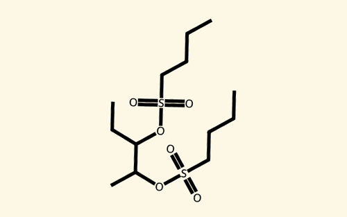 CCCCS(=O)(=O)OC(C)C(CC)OS(=O)(=O)CCCC